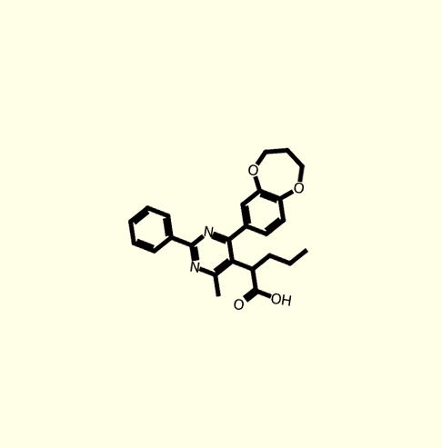 CCCC(C(=O)O)c1c(C)nc(-c2ccccc2)nc1-c1ccc2c(c1)OCCCO2